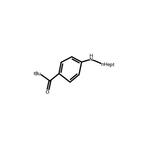 CCCCCCCNc1ccc(C(=O)C(C)(C)C)cc1